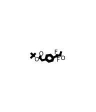 CC(=O)C(F)(F)c1ccc(CC(=O)OC(C)(C)C)cc1